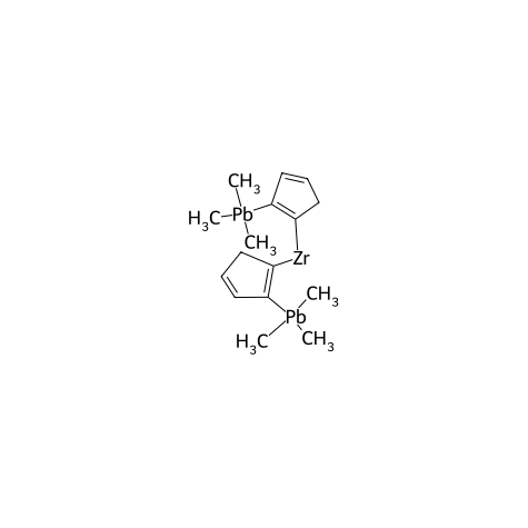 [CH3][Pb]([CH3])([CH3])[C]1=[C]([Zr][C]2=[C]([Pb]([CH3])([CH3])[CH3])C=CC2)CC=C1